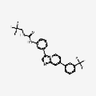 O=C(NCC(F)(F)F)Nc1cccc(-c2cnc3cc(-c4cccc(C(F)(F)F)c4)ccn23)c1